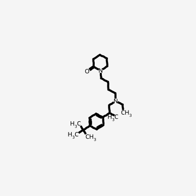 CCN(CCCCN1CCCCC1=O)CC(C)c1ccc(C(C)(C)C)cc1